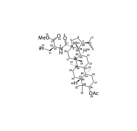 C=C(C)[C@@H]1CC[C@]2(C(=O)N[C@@H](CC(C)C)C(=O)OC)CC[C@]3(C)[C@H](CCC4[C@@]5(C)CCC(OC(C)=O)C(C)(C)[C@@H]5CC[C@]43C)[C@@H]12